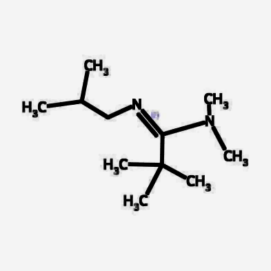 CC(C)C/N=C(/N(C)C)C(C)(C)C